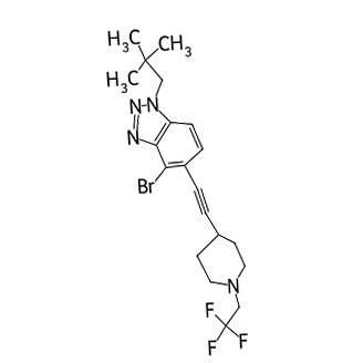 CC(C)(C)Cn1nnc2c(Br)c(C#CC3CCN(CC(F)(F)F)CC3)ccc21